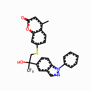 Cc1cc(=O)oc2cc(SCC(O)(c3ccc4c(cnn4-c4ccccc4)c3)C(F)(F)F)ccc12